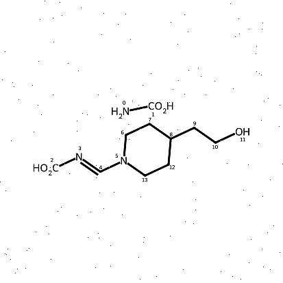 NC(=O)O.O=C(O)N=CN1CCC(CCO)CC1